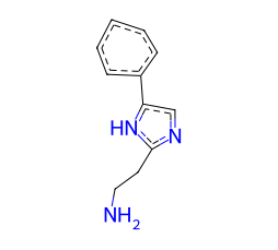 NCCc1ncc(-c2ccccc2)[nH]1